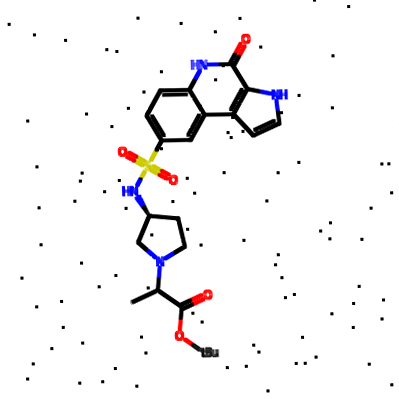 CC(C(=O)OC(C)(C)C)N1CC[C@H](NS(=O)(=O)c2ccc3[nH]c(=O)c4[nH]ccc4c3c2)C1